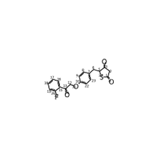 O=C1CC(=O)C(Cc2ccc(OCC(=O)c3ccccc3F)cc2)S1